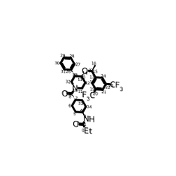 CCC(=O)N[C@H]1CC[C@H](C(=O)N2CC[C@@H](O[C@@H](C)c3cc(C(F)(F)F)cc(C(F)(F)F)c3)[C@@H](c3ccccc3)C2)CC1